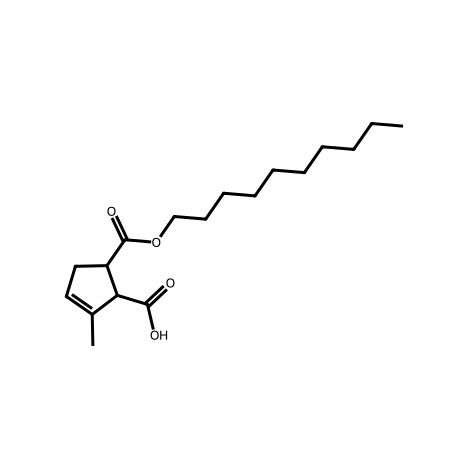 CCCCCCCCCCOC(=O)C1CC=C(C)C1C(=O)O